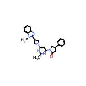 Cc1nc(N2CC(c3nc4ccccc4n3C)C2)cc(N2CC(c3ccccc3)CC2=O)n1